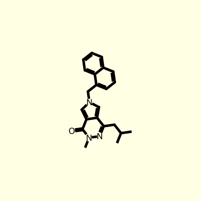 CC(C)Cc1nn(C)c(=O)c2cn(Cc3cccc4ccccc34)cc12